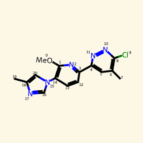 COc1nc(-c2cc(C)c(Cl)nn2)ccc1-n1cnc(C)c1